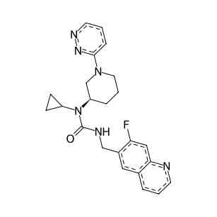 O=C(NCc1cc2cccnc2cc1F)N(C1CC1)[C@@H]1CCCN(c2cccnn2)C1